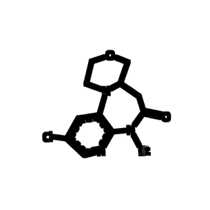 CCN1C(=O)CC2COCCN2c2cc(Cl)cnc21